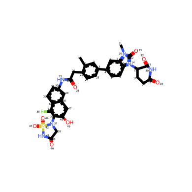 Cc1cc(-c2ccc3c(c2)n(C)c(=O)n3C2CCC(=O)NC2=O)ccc1CC(=O)Nc1ccc2c(F)c(N3CC(=O)NS3(=O)=O)c(O)cc2c1